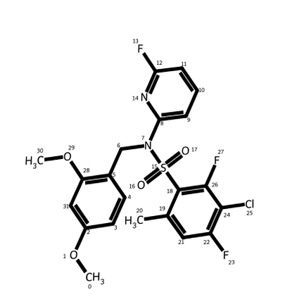 COc1ccc(CN(c2cccc(F)n2)S(=O)(=O)c2c(C)cc(F)c(Cl)c2F)c(OC)c1